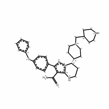 NC(=O)c1c(-c2ccc(Oc3ccccc3)cc2)nn2c1NCC[C@H]2C1CCN(CC2CCNCC2)CC1